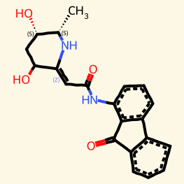 C[C@@H]1N/C(=C\C(=O)Nc2cccc3c2C(=O)c2ccccc2-3)C(O)C[C@@H]1O